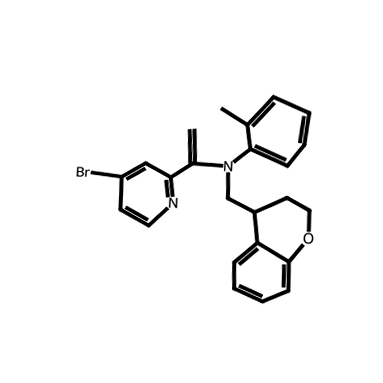 C=C(c1cc(Br)ccn1)N(CC1CCOc2ccccc21)c1ccccc1C